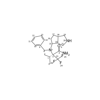 CC(C)[C@@](C(N)=O)(N(Cc1ccccc1)C1CCC2CNCC21)C(F)(F)F